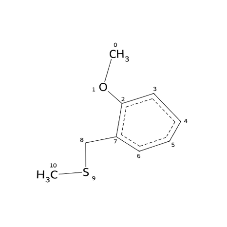 COc1ccccc1CSC